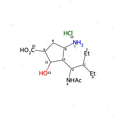 CCC(CC)C(NC(C)=O)C1C(N)CC(C(=O)O)C1O.Cl